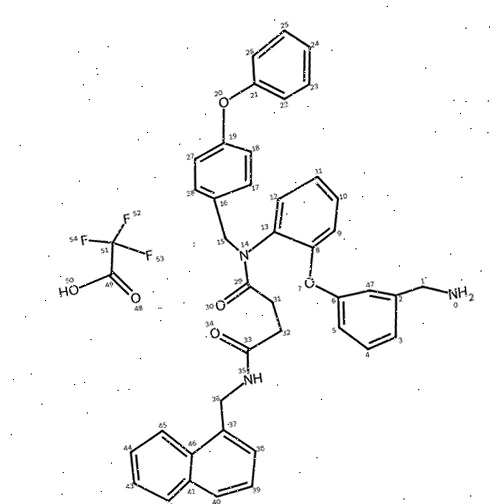 NCc1cccc(Oc2ccccc2N(Cc2ccc(Oc3ccccc3)cc2)C(=O)CCC(=O)NCc2cccc3ccccc23)c1.O=C(O)C(F)(F)F